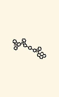 c1cc2ccc3ccc(-n4c5ccccc5c5cc(-c6ccc(-c7ccc8c(c7)c7ccccc7n8-c7cc8c9ccccc9n9c%10ccccc%10c(c7)c89)cc6)ccc54)c4ccc(c1)c2c34